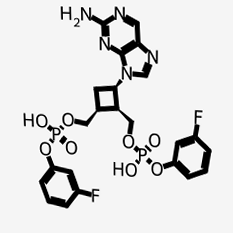 Nc1ncc2ncn([C@@H]3C[C@H](COP(=O)(O)Oc4cccc(F)c4)[C@@H]3COP(=O)(O)Oc3cccc(F)c3)c2n1